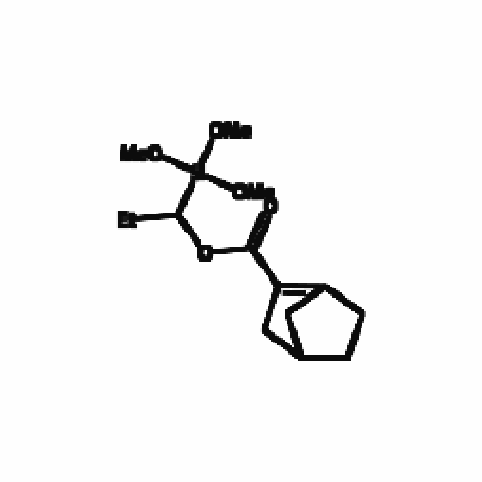 CCC(OC(=O)C1=C2CCC(C2)C1)[Si](OC)(OC)OC